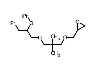 CC(C)CC(COCC(C)(C)COCC1CO1)OC(C)C